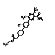 CCOC(=O)CC1CCC(c2ccc(-c3nc(C(N)=O)c(C)nc3C)cc2Cl)CC1